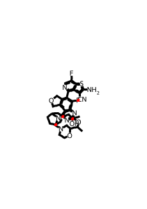 CC(O)CN1CC2CCC(C1)N2c1nc(OC(C)C2CN(C)CCO2)nc2c(F)c(-c3ncc(F)c4sc(N)c(C#N)c34)c3c(c12)COC3